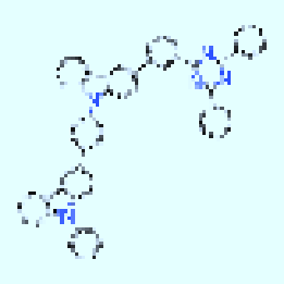 c1ccc(-c2nc(-c3ccccc3)nc(-c3cccc(-c4ccc5c(c4)c4ccccc4n5-c4ccc(-c5ccc6c(c5)c5ccccc5n6-c5ccccc5)cc4)c3)n2)cc1